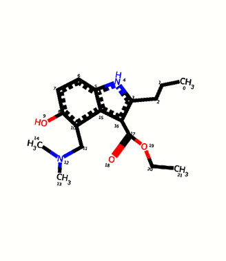 CCCc1[nH]c2ccc(O)c(CN(C)C)c2c1C(=O)OCC